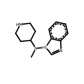 CN(C1CCNCC1)[SH]1C=Nc2ccccc21